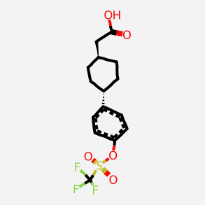 O=C(O)C[C@H]1CC[C@H](c2ccc(OS(=O)(=O)C(F)(F)F)cc2)CC1